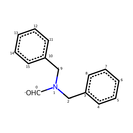 O=[C]N([CH]c1ccccc1)[CH]c1ccccc1